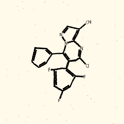 N#Cc1cnn2c(-c3ccccc3)c(-c3c(F)cc(F)cc3F)c(Cl)nc12